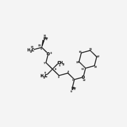 CC(C)C(CCC(C)(C)CO[C@@H](C)C(C)C)OC1CCCCC1